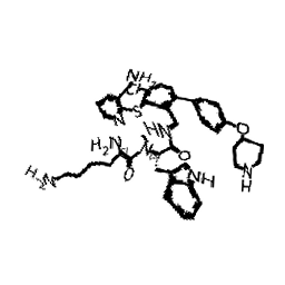 CN(C(=O)[C@@H](N)CCCCN)[C@@H](Cc1c[nH]c2ccccc12)C(=O)NCc1c(-c2ccc(OC3CCNCC3)cc2)ccc(Cl)c1Sc1ncccc1CN